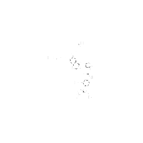 COCCOc1cc2ncnc(Oc3cnn(CC(=O)Nc4cc(C)cc(CN(C(=O)OC(C)(C)C)C5CC5)c4)c3)c2cc1OCCOC